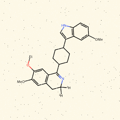 [2H]C1([2H])Cc2cc(OC)c(OCC)cc2C(C2CCC(c3c[nH]c4ccc(OC)cc34)CC2)=N1